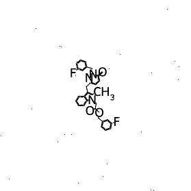 Cc1c(Cc2ccc(=O)n(Cc3cccc(F)c3)n2)c2ccccc2n1CC(=O)OCc1cccc(F)c1